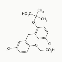 CC(C)(Oc1ccc(Cl)cc1Cc1cc(Cl)ccc1OCC(=O)O)C(=O)O